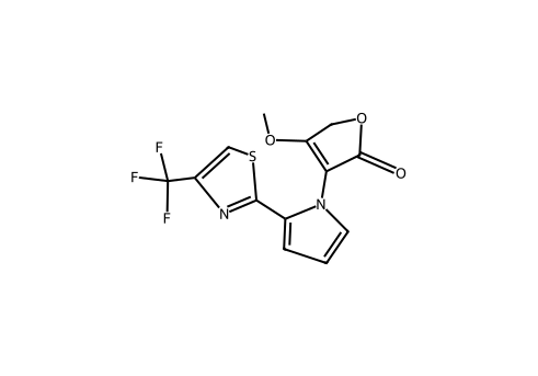 COC1=C(n2cccc2-c2nc(C(F)(F)F)cs2)C(=O)OC1